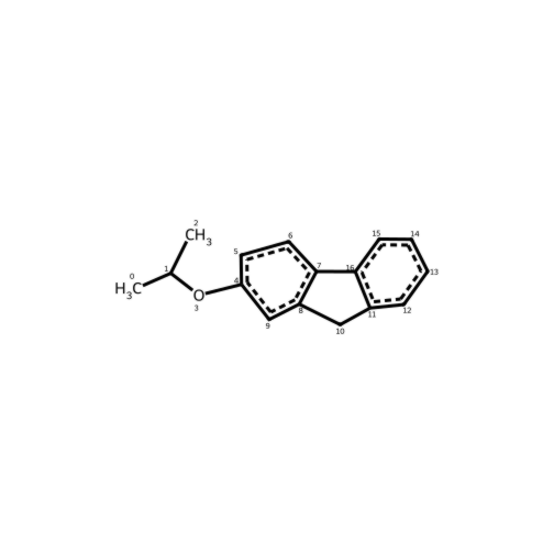 CC(C)Oc1ccc2c(c1)Cc1ccccc1-2